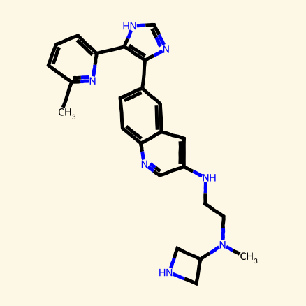 Cc1cccc(-c2[nH]cnc2-c2ccc3ncc(NCCN(C)C4CNC4)cc3c2)n1